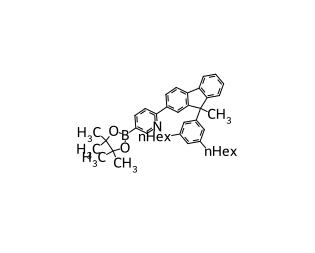 CCCCCCc1cc(CCCCCC)cc(C2(C)c3ccccc3-c3ccc(-c4ccc(B5OC(C)(C)C(C)(C)O5)cn4)cc32)c1